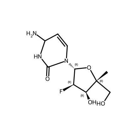 C[C@]1(CO)O[C@@H](N2C=CC(N)NC2=O)[C@H](F)[C@@H]1O